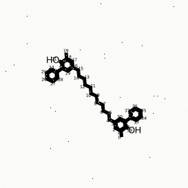 Cc1cc(CCCCCCCCCCCCc2cc(C)c(O)c(-c3ccccc3)c2)cc(-c2ccccc2)c1O